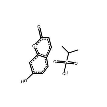 CC(C)S(=O)(=O)O.O=c1ccc2ccc(O)cc2o1